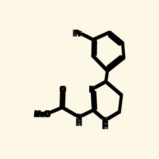 COC(=O)NC1=NC(c2cccc(C(C)C)c2)CCN1